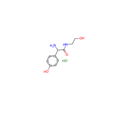 Cl.NC(C(=O)NCCO)c1ccc(O)cc1